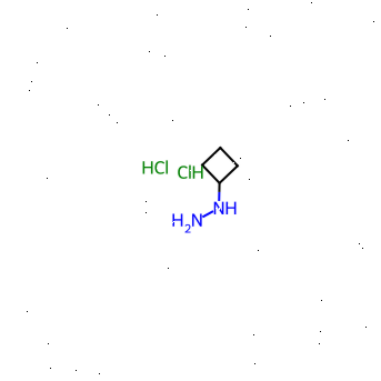 Cl.Cl.NNC1CCC1